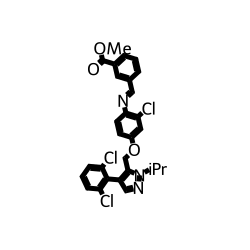 COC(=O)c1cccc(C=Nc2ccc(OCc3c(-c4c(Cl)cccc4Cl)cnn3C(C)C)cc2Cl)c1